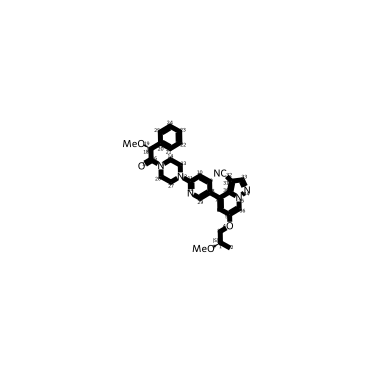 CO[C@@H](C)COc1cc(-c2ccc(N3CCN(C(=O)[C@H](OC)c4ccccc4)CC3)nc2)c2c(C#N)cnn2c1